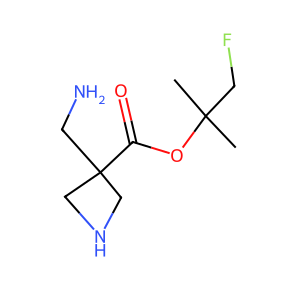 CC(C)(CF)OC(=O)C1(CN)CNC1